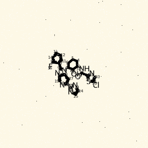 O=C(N[C@H]1CCC[C@@H](n2c(-c3ccccc3F)nc3cnc(-n4nccn4)cc32)[C@@H]1O)c1ncc(Cl)s1